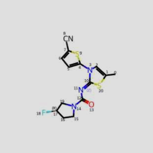 Cc1cn(-c2ccc(C#N)s2)/c(=N/C(=O)N2CC[C@@H](F)C2)s1